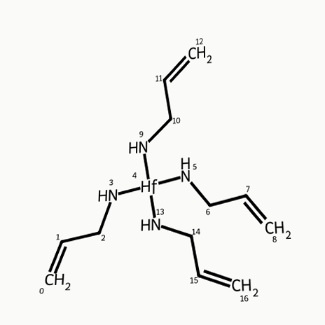 C=CC[NH][Hf]([NH]CC=C)([NH]CC=C)[NH]CC=C